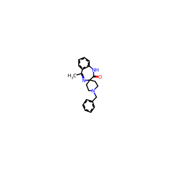 CC1=NC2(CCN(Cc3ccccc3)CC2)C(=O)Nc2ccccc21